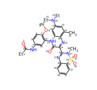 CCC(=O)Nc1ccc(OC(C)C)c(NC(=O)/C(=N\c2ccc(N(CC)CC)cc2C)C2=Nc3ccccc3S(=O)(=O)N2C)c1